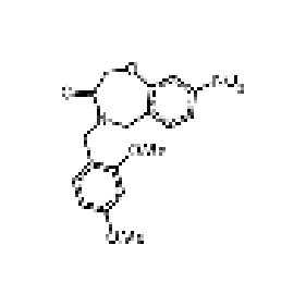 COc1ccc(CN2Cc3ccc([N+](=O)[O-])cc3OCC2=O)c(OC)c1